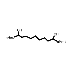 CCCCCCC(O)CCCCCCCC(O)CCCCC